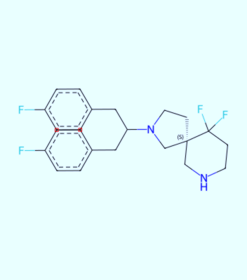 Fc1ccc(CC(Cc2ccc(F)cc2)N2CC[C@]3(CNCCC3(F)F)C2)cc1